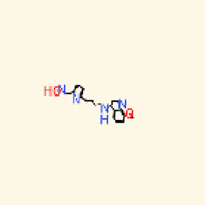 COc1cccc2c(NCCCCc3cccc(/C=N/O)n3)ccnc12